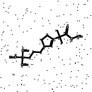 CO[Si](CCCN1C=[N+](C(C)(C)C(=O)OC(C)(C)C)CC1)(OC)OC